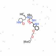 C#CC(CC1CCCNC1=O)NC(=O)C(CC(C)(C)C)NC(=O)c1cc2c(OCCOCCOC)cccc2[nH]1